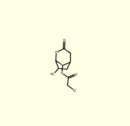 N#CC1CC2CC(=O)OC1C2OC(=O)CCl